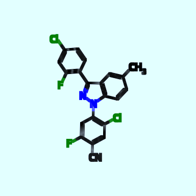 Cc1ccc2c(c1)c(-c1ccc(Cl)cc1F)nn2-c1cc(F)c(C#N)cc1Cl